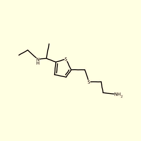 CCNC(C)c1ccc(CSCCN)s1